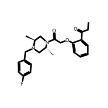 CCC(=O)c1ccccc1OCC(=O)N1C[C@H](C)N(Cc2ccc(F)cc2)C[C@H]1C